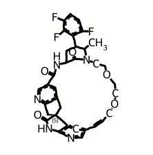 CC1C(c2c(F)ccc(F)c2F)CC2NC(=O)c3cnc4c(c3)C[C@@]3(C4)C(=O)Nc4ncc(cc43)C=CCOCCOCCN1C2=O